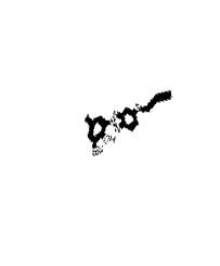 C=CCSc1ccc2nn(-c3cc(C)cc(C(C)(C)C)c3O)nc2c1